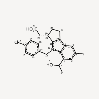 Cc1cc(C(C)O)c2c(c1)c1c(n2Cc2ccc(Cl)cc2)[C@H](CC(=O)O)CC1